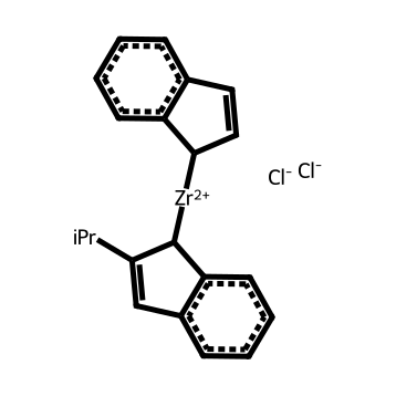 CC(C)C1=Cc2ccccc2[CH]1[Zr+2][CH]1C=Cc2ccccc21.[Cl-].[Cl-]